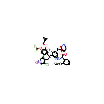 COc1ccccc1C(Nc1ccc(C(=O)O)c([C@@H](Cc2c(Cl)c[n+]([O-])cc2Cl)c2ccc(OC(F)F)c(OCC3CC3)c2)c1)C(=O)O[C@H]1CN2CCC1CC2